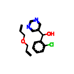 C=CCOCC=C.OC(c1cncnc1)c1ccccc1Cl